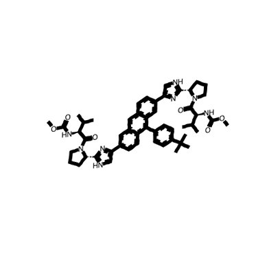 COC(=O)N[C@H](C(=O)N1CCC[C@H]1c1nc(-c2ccc3c(-c4ccc(C(C)(C)C)cc4)c4cc(-c5c[nH]c([C@@H]6CCCN6C(=O)[C@@H](NC(=O)OC)C(C)C)n5)ccc4cc3c2)c[nH]1)C(C)C